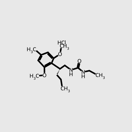 CCC[C@@H](CNC(=O)NCC)c1c(OC)cc(C)cc1OC.Cl